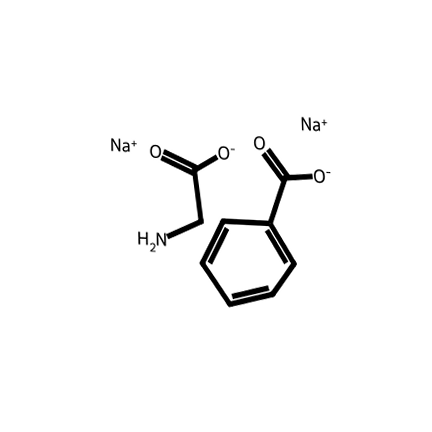 NCC(=O)[O-].O=C([O-])c1ccccc1.[Na+].[Na+]